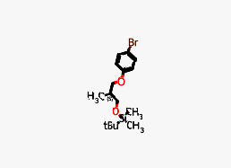 C[C@@H](COc1ccc(Br)cc1)CO[Si](C)(C)C(C)(C)C